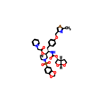 Cc1nc(COc2ccc(C[C@H](NC(=O)O[C@H]3CO[C@H]4OCC[C@H]43)[C@@H](CN(CC(C)C)S(=O)(=O)c3ccc4c(c3)OCO4)OC(=O)C[n+]3ccccc3)cc2)cs1